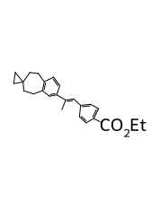 CCOC(=O)c1ccc(/C=C(\C)c2ccc3c(c2)CCC2(CC3)CC2)cc1